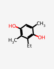 CCc1c(C)c(O)cc(C)c1O